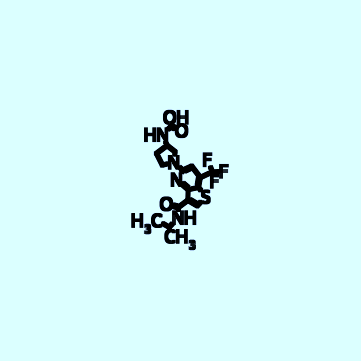 CC(C)NC(=O)c1csc2c(C(F)(F)F)cc(N3CCC(NC(=O)O)C3)nc12